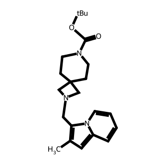 Cc1cc2ccccn2c1CN1CC2(CCN(C(=O)OC(C)(C)C)CC2)C1